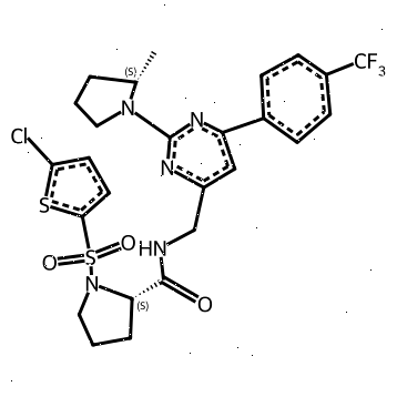 C[C@H]1CCCN1c1nc(CNC(=O)[C@@H]2CCCN2S(=O)(=O)c2ccc(Cl)s2)cc(-c2ccc(C(F)(F)F)cc2)n1